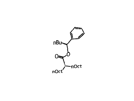 CCCCCCCCC(CCCCCCCC)C(=O)OC(CCCC)c1ccccc1